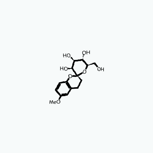 COc1ccc2c(c1)CC[C@]1(O2)O[C@H](CO)[C@@H](O)[C@H](O)[C@@H]1O